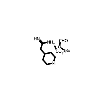 CC(=O)O.CC(C)(C)OC=O.N=C(N)CC1CCNCC1